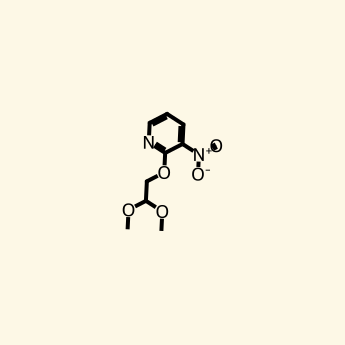 COC(COc1ncccc1[N+](=O)[O-])OC